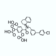 O=C(O)Oc1cc(OC(=O)O)c(C(=O)N(Cc2cccc(-c3ccc(Cl)cc3)c2)[C@H]2CCCc3ccccc32)cc1OC(=O)O